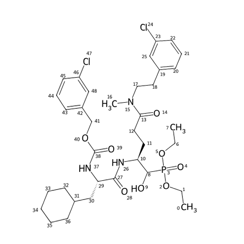 CCOP(=O)(OCC)C(O)[C@H](CCC(=O)N(C)CCc1cccc(Cl)c1)NC(=O)[C@H](CC1CCCCC1)NC(=O)OCc1cccc(Cl)c1